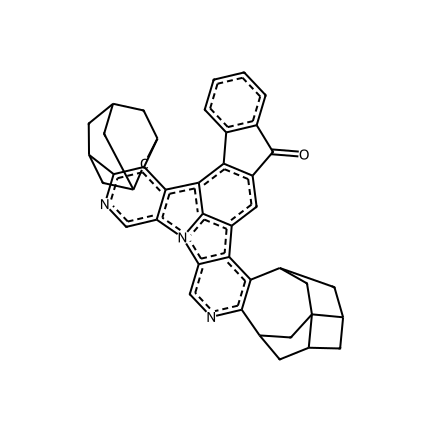 O=C1c2ccccc2-c2c1cc1c3c4c(ncc3n3c5cnc6c(c5c2c13)C1CC2CC(CC6C2)C1)C1CC2CC3CC4CC23C1